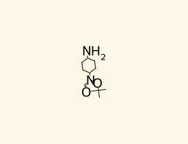 CC(C)(C)ON(C=O)C1CCC(N)CC1